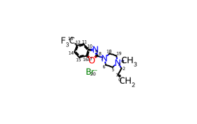 C=CC[N+]1(C)CCN(c2nc3cc(C(F)(F)F)ccc3o2)CC1.[Br-]